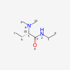 CCNC(=O)[C@H](CC)N(C)C